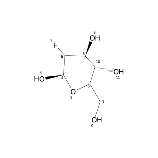 OCC1O[C@@H](O)C(F)[C@@H](O)[C@@H]1O